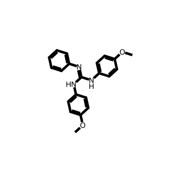 COc1ccc(NC(=Nc2ccccc2)Nc2ccc(OC)cc2)cc1